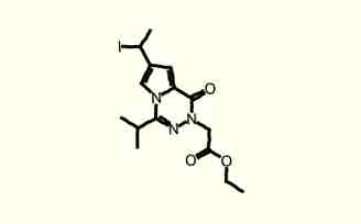 CCOC(=O)Cn1nc(C(C)C)n2cc(C(C)I)cc2c1=O